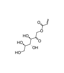 C=CC(=O)OCC(=O)[C@H](O)[C@H](O)[C@H](O)CO